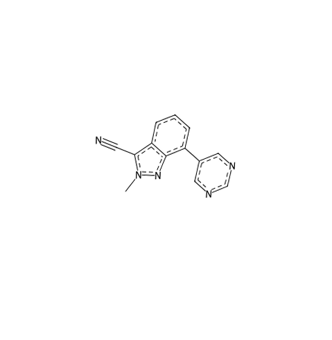 Cn1nc2c(-c3cncnc3)cccc2c1C#N